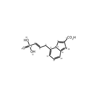 O=C(O)c1cn2c(CC=CP(=O)(O)O)cccc2n1